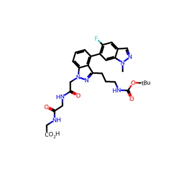 Cn1ncc2cc(F)c(-c3cccc4c3c(CCCNC(=O)OC(C)(C)C)nn4CC(=O)NCC(=O)NCC(=O)O)cc21